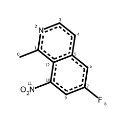 Cc1nccc2cc(F)cc([N+](=O)[O-])c12